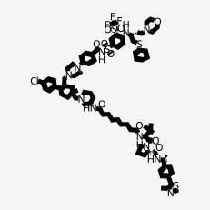 Cc1ncsc1-c1ccc([C@H](C)NC(=O)[C@@H]2CCCN2C(=O)C(NC(=O)CCCCCCCC(=O)N[C@@H]2CCCN(CC3(C)CCC(c4ccc(Cl)cc4)=C(CN4CCN(c5ccc(C(=O)NS(=O)(=O)c6ccc(N[C@H](CCN7CCOCC7)CSc7ccccc7)c(S(=O)(=O)C(F)(F)F)c6)cc5)CC4)C3)C2)C(C)(C)C)cc1